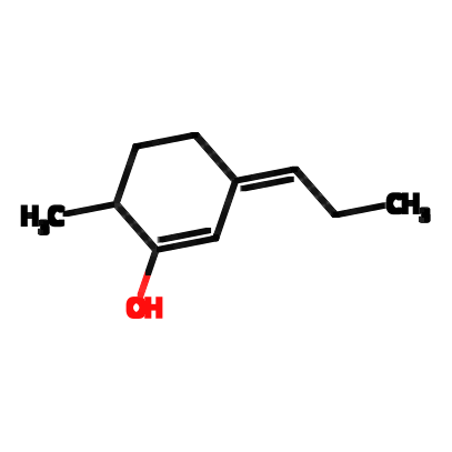 CCC=C1C=C(O)C(C)CC1